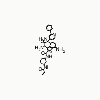 C=CC(=O)N[C@H]1CCC[C@H](NC(=O)c2sc3c(N)ccc4c3c2C(N)C(=O)C4(N)c2ccnc(-c3ccccc3)c2)C1